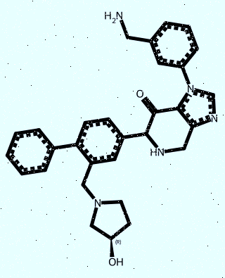 NCc1cccc(-n2cnc3c2C(=O)C(c2ccc(-c4ccccc4)c(CN4CC[C@@H](O)C4)c2)NC3)c1